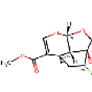 COC(=O)C1=CO[C@@H]2OC[C@@]3(O)[C@@H]2[C@@H]1C[C@H]3Cl